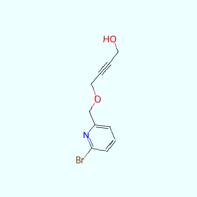 OCC#CCOCc1cccc(Br)n1